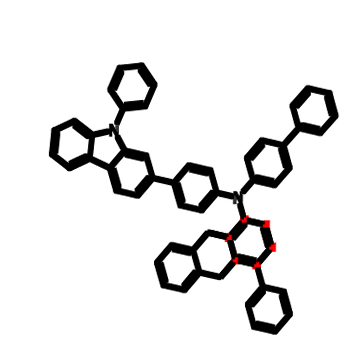 c1ccc(-c2ccc(N(c3ccc(-c4ccc5c6ccccc6n(-c6ccccc6)c5c4)cc3)c3ccc(-c4ccccc4)c4c3C3c5ccccc5C4c4ccccc43)cc2)cc1